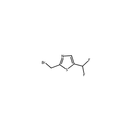 FC(F)c1cnc(CBr)s1